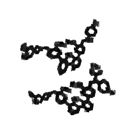 COc1nc(-c2cccc(-c3nccc(-c4ccc(CN(C(=O)OC(C)(C)C)C5CCN(C(C)=O)CC5)c(OC)n4)c3Cl)c2Cl)ccc1CN1CC2(CNC(=O)C2)C1.COc1nc(-c2cccc(-c3nccc(-c4ccc(CNC5CCN(C(C)=O)CC5)c(OC)n4)c3Cl)c2Cl)ccc1CN1CC2(CNC(=O)C2)C1